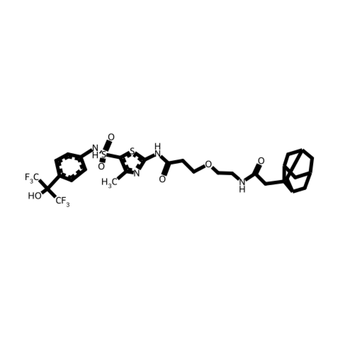 Cc1nc(NC(=O)CCOCCNC(=O)CC2C3CC4CC(C3)CC2C4)sc1S(=O)(=O)Nc1ccc(C(O)(C(F)(F)F)C(F)(F)F)cc1